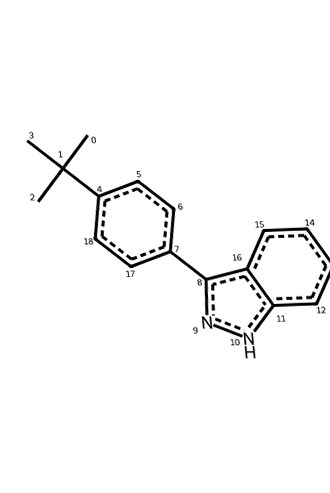 CC(C)(C)c1ccc(-c2n[nH]c3ccccc23)cc1